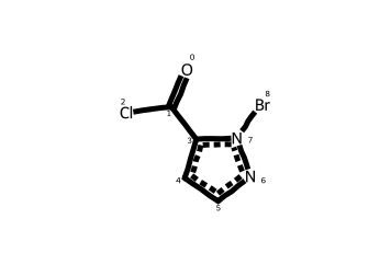 O=C(Cl)c1ccnn1Br